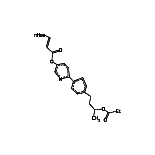 CCCCCCC=CC(=O)Oc1ccc(-c2ccc(CCC(C)OC(=O)CC)cc2)nc1